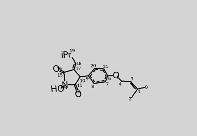 CC(C)=CCOc1ccc(C2C(=O)N(O)C(=O)/C2=C\C(C)C)cc1